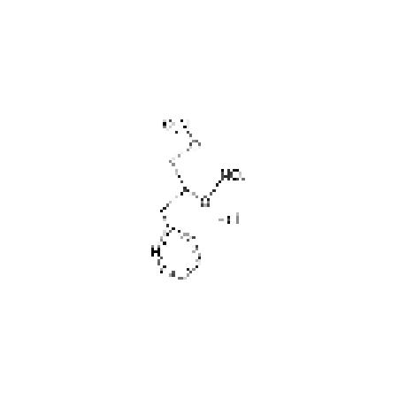 Cl.O=[N+]([O-])OCC(Cc1ccccn1)O[N+](=O)[O-]